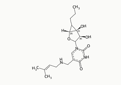 CCCC1[C@H]2OC(n3cc(CNCC=C(C)C)c(=O)[nH]c3=O)[C@H](O)[C@@]12O